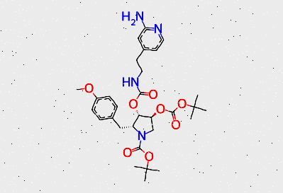 COc1ccc(C[C@@H]2[C@H](OC(=O)NCCc3ccnc(N)c3)[C@@H](OC(=O)OC(C)(C)C)CN2C(=O)OC(C)(C)C)cc1